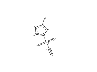 C#CS(=O)(=O)c1cc(C)cs1